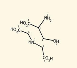 NC(CO)C(=O)O.O=C(O)CNCC(=O)O